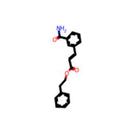 NC(=O)c1cccc(C=CC(=O)OCCc2ccccc2)c1